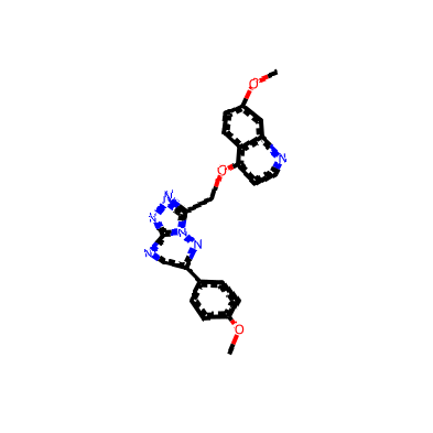 COc1ccc(-c2cnc3nnc(COc4ccnc5cc(OC)ccc45)n3n2)cc1